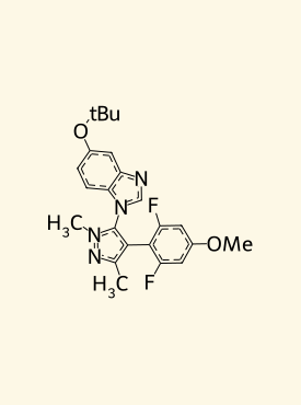 COc1cc(F)c(-c2c(C)nn(C)c2-n2cnc3cc(OC(C)(C)C)ccc32)c(F)c1